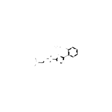 COc1ccccc1-c1nsc(S(=O)(=O)N=CN(C)C)n1